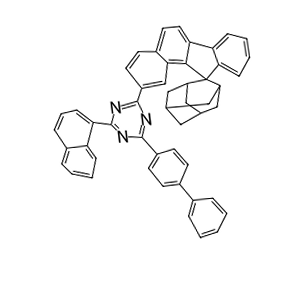 c1ccc(-c2ccc(-c3nc(-c4ccc5ccc6c(c5c4)C4(c5ccccc5-6)C5CC6CC(C5)CC4C6)nc(-c4cccc5ccccc45)n3)cc2)cc1